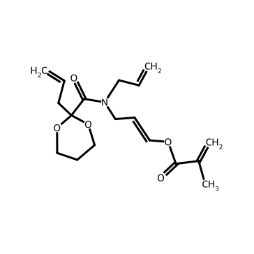 C=CCN(CC=COC(=O)C(=C)C)C(=O)C1(CC=C)OCCCO1